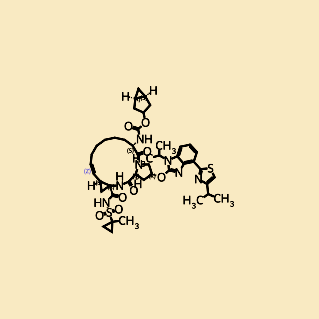 CC(C)c1csc(-c2cccc3c2nc(O[C@@H]2C[C@H]4C(=O)N[C@]5(C(=O)NS(=O)(=O)C6(C)CC6)C[C@H]5/C=C\CCCCC[C@H](NC(=O)OC5C[C@@H]6C[C@@H]6C5)C(=O)N4C2)n3C(C)C)n1